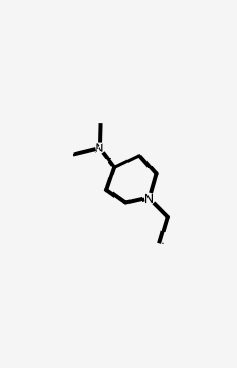 [CH2]CN1CCC(N(C)C)CC1